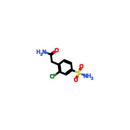 NC(=O)Cc1ccc(S(N)(=O)=O)cc1Cl